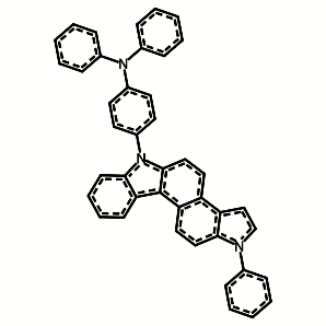 c1ccc(N(c2ccccc2)c2ccc(-n3c4ccccc4c4c5ccc6c(ccn6-c6ccccc6)c5ccc43)cc2)cc1